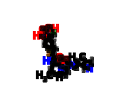 Cc1ccncc1C1CN(C(=O)[C@@H]2CC[C@@H]3C[C@H](C)C[C@H](NC(=O)c4cc5cc([C@@H](F)P(=O)(O)O)ccc5s4)C(=O)N32)C1